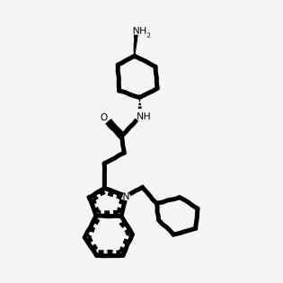 N[C@H]1CC[C@H](NC(=O)CCc2cc3ccccc3n2CC2CCCCC2)CC1